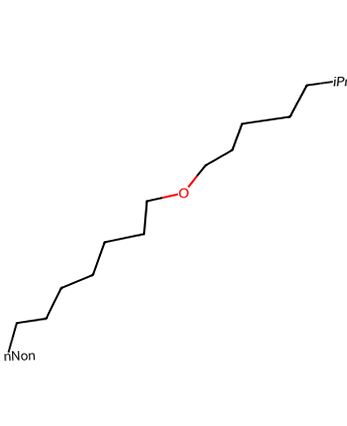 CCCCCCCCCCCCCCCCOCCCCCC(C)C